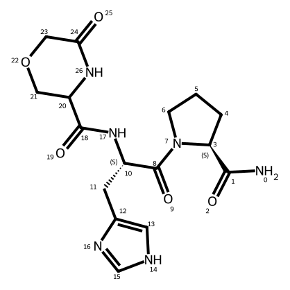 NC(=O)[C@@H]1CCCN1C(=O)[C@H](Cc1c[nH]cn1)NC(=O)C1COCC(=O)N1